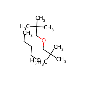 CC(C)(C)COCC(C)(C)C.CCCCC